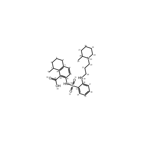 CC1CCCc2ccc(NS(=O)(=O)c3ccccc3NCCCN3CCCCC3C)c(C(=O)O)c21